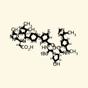 Cc1ncsc1-c1ccc(C(C)NC(=O)[C@@H]2C[C@@H](O)CN2C(=O)C(NC(=O)c2cc(F)cc(-c3ccc(C4=N[C@@H](CC(=O)O)c5nnc(C)n5-c5sc(C)c(C)c54)cc3)c2F)C(C)(C)C)cc1